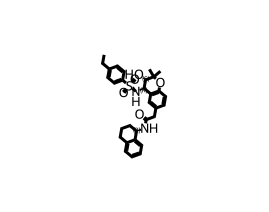 CCc1ccc(S(=O)(=O)N[C@@H]2c3cc(CC(=O)N[C@@H]4CCCc5ccccc54)ccc3OC(C)(C)[C@H]2O)cc1